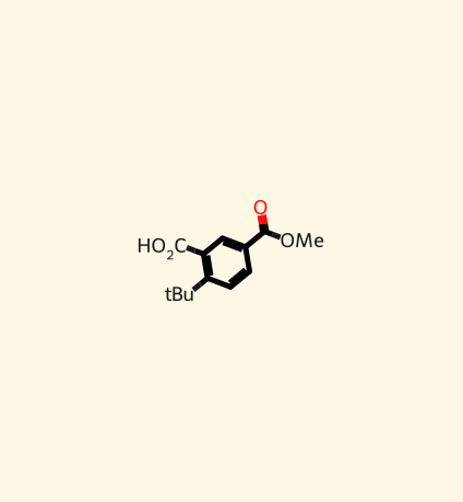 COC(=O)c1ccc(C(C)(C)C)c(C(=O)O)c1